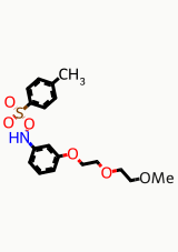 COCCOCCOc1cccc(NOS(=O)(=O)c2ccc(C)cc2)c1